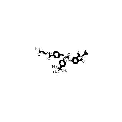 CC(C)(C)c1ccc(N(Cc2ccc(C(=O)NCCC(=O)O)cc2)C(=O)Nc2ccc3c(c2)C(=O)N(C2CC2)C3=O)cc1